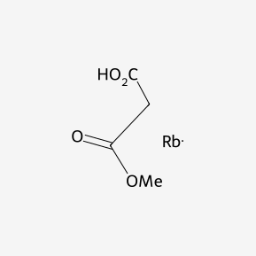 COC(=O)CC(=O)O.[Rb]